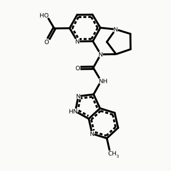 Cc1ccc2c(NC(=O)N3c4nc(C(=O)O)ccc4N4CCC3C4)n[nH]c2n1